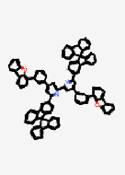 c1cc(-c2cc(-c3ccc4c(c3)-c3ccccc3C43c4ccccc4-c4ccccc43)nc(-c3cc(-c4cccc(-c5cccc6c5oc5ccccc56)c4)cc(-c4ccc5c(c4)-c4ccccc4C54c5ccccc5-c5ccccc54)n3)c2)cc(-c2cccc3c2oc2ccccc23)c1